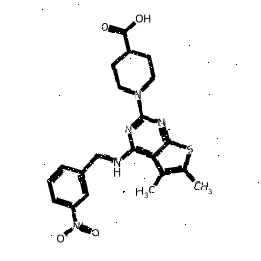 Cc1sc2nc(N3CCC(C(=O)O)CC3)nc(NCc3cccc([N+](=O)[O-])c3)c2c1C